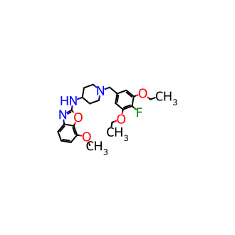 CCOc1cc(CN2CCC(Nc3nc4cccc(OC)c4o3)CC2)cc(OCC)c1F